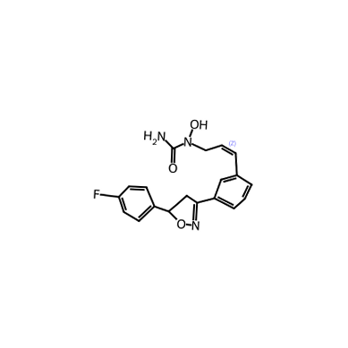 NC(=O)N(O)C/C=C\c1cccc(C2=NOC(c3ccc(F)cc3)C2)c1